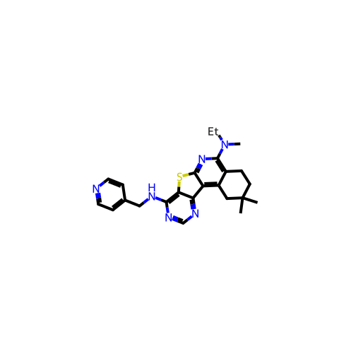 CCN(C)c1nc2sc3c(NCc4ccncc4)ncnc3c2c2c1CCC(C)(C)C2